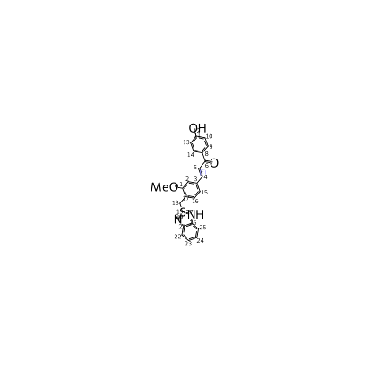 COc1cc(/C=C/C(=O)c2ccc(O)cc2)ccc1CS1=Nc2ccccc2N1